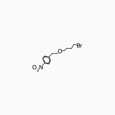 O=[N+]([O-])c1ccc(CCOCCCCBr)cc1